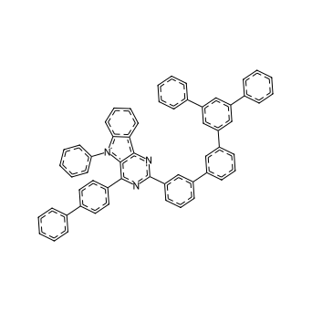 c1ccc(-c2ccc(-c3nc(-c4cccc(-c5cccc(-c6cc(-c7ccccc7)cc(-c7ccccc7)c6)c5)c4)nc4c5ccccc5n(-c5ccccc5)c34)cc2)cc1